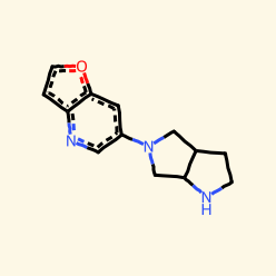 c1cc2ncc(N3CC4CCNC4C3)cc2o1